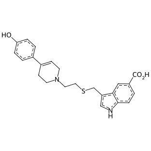 O=C(O)c1ccc2[nH]cc(CSCCN3CC=C(c4ccc(O)cc4)CC3)c2c1